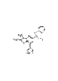 Cc1c(C=O)nn2c(-c3cn[nH]c3)cc(N(C)Cc3ccccc3)nc12